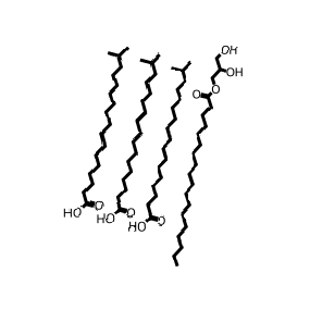 CC(C)CCCCCCCCCCCCCCC(=O)O.CC(C)CCCCCCCCCCCCCCC(=O)O.CC(C)CCCCCCCCCCCCCCC(=O)O.CCCCCCCCCCCCCCCCCC(=O)OCC(O)CO